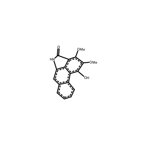 COc1c(OC)c(O)c2c3c(cc4ccccc42)NC(=O)c13